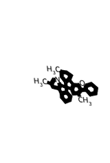 Cc1cnc2c(c1)-c1ccccc1C21c2cc(C)ccc2-c2c1cc(C)c1c2oc2ccccc21